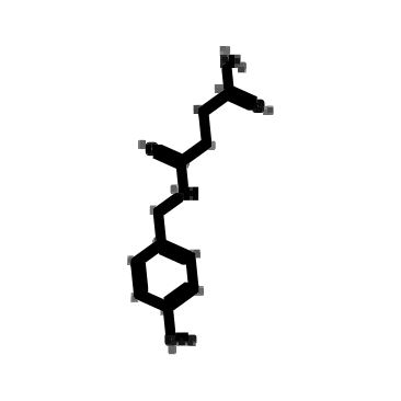 COc1ccc(CNC(=O)CCC(N)=O)cc1